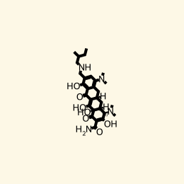 CCC(C)CNCc1cc(N(C)C)c2c(c1O)C(=O)C1=C(O)[C@@]3(O)C(=O)C(C(N)=O)=C(O)[C@H](N(C)C)[C@H]3C[C@H]1C2